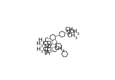 CC1=Cc2c(-c3ccc([Si](C)(C)C)cc3)ccc(C)c2[CH]1[Zr]([Cl])([Cl])([CH]1C(C(C)C)=Cc2c(-c3ccccc3)cccc21)[SiH](C)C